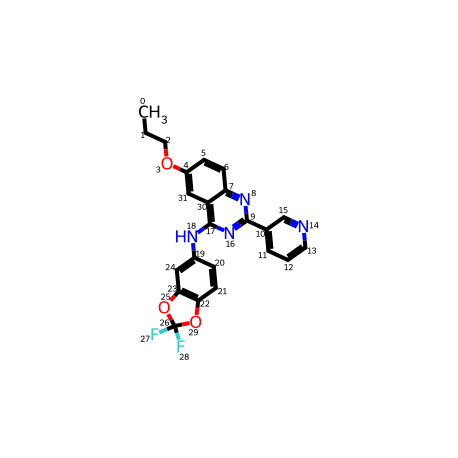 CCCOc1ccc2nc(-c3cccnc3)nc(Nc3ccc4c(c3)OC(F)(F)O4)c2c1